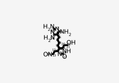 Nc1nc(N)c(CCCCc2c(CCN=O)nc(=O)[nH]c2CCO)c(N)n1